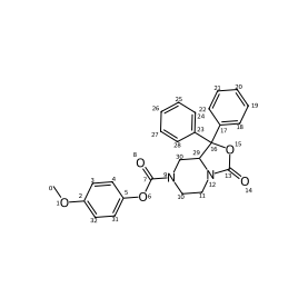 COc1ccc(OC(=O)N2CCN3C(=O)OC(c4ccccc4)(c4ccccc4)C3C2)cc1